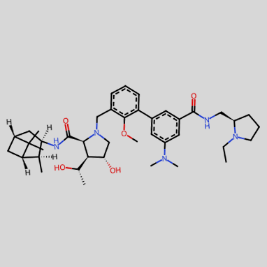 CCN1CCC[C@@H]1CNC(=O)c1cc(-c2cccc(CN3C[C@H](O)[C@@H]([C@H](C)O)[C@H]3C(=O)N[C@@H]3C[C@H]4C[C@@H]([C@@H]3C)C4(C)C)c2OC)cc(N(C)C)c1